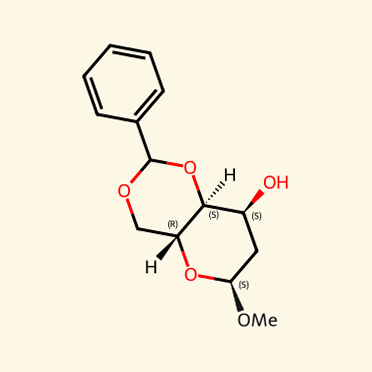 CO[C@@H]1C[C@H](O)[C@@H]2OC(c3ccccc3)OC[C@H]2O1